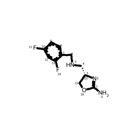 NC1=N[C@@H](CNCc2ccc(F)cc2F)CO1